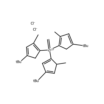 [CH2]=[Zr+2]([C]1=CC(C(C)(C)C)=CC1C)([C]1=C(C)C=C(C(C)(C)C)C1)[C]1=C(C)C=C(C(C)(C)C)C1.[Cl-].[Cl-]